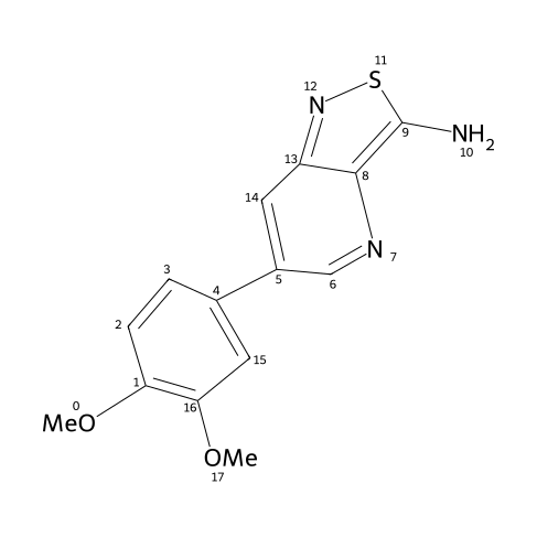 COc1ccc(-c2cnc3c(N)snc3c2)cc1OC